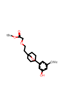 COc1cc(O)cc(C23CCC(CCOCC(=O)OC(C)(C)C)(CC2)CO3)c1